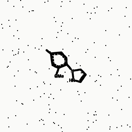 COc1cc(C)ccc1N1CC=CN1